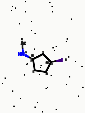 CC(=O)N[C@H]1CC[C@H](I)C1